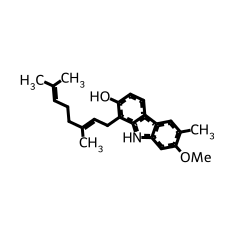 COc1cc2[nH]c3c(C/C=C(\C)CCC=C(C)C)c(O)ccc3c2cc1C